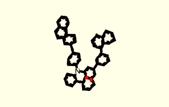 c1ccc(-c2ccccc2N(c2ccc(-c3ccc4c(ccc5ccccc54)c3)cc2)c2cccc(-c3cccc(-c4cccc5ccccc45)c3)c2)cc1